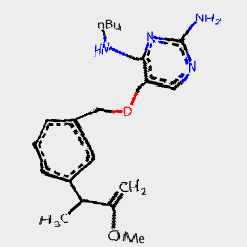 C=C(OC)C(C)c1cccc(COc2cnc(N)nc2NCCCC)c1